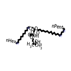 CCCCC/C=C\C/C=C\CCCCCCCCCCCC(=O)O[C@H](CO/C=C\CCCCCCCC/C=C\CCCCCC)COP(=O)(O)OCC[N+](C)(C)C